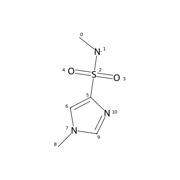 C[N]S(=O)(=O)c1cn(C)cn1